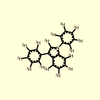 [2H]c1c([2H])c([2H])c(-c2c([2H])n(-c3c([2H])c([2H])c([2H])c([2H])c3[2H])c3c([2H])c([2H])c([2H])c([2H])c23)c([2H])c1[2H]